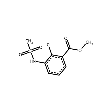 COC(=O)c1cccc(NS(C)(=O)=O)c1Cl